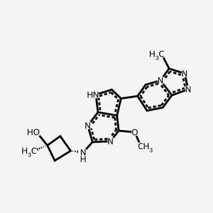 COc1nc(N[C@H]2C[C@](C)(O)C2)nc2[nH]cc(-c3ccc4nnc(C)n4c3)c12